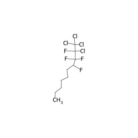 CCCCCCC(F)C(F)(F)C(F)(Cl)C(Cl)(Cl)Cl